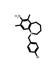 Cc1cc2c(c(C)c1N)CCCCN2Cc1ccc(Br)cc1